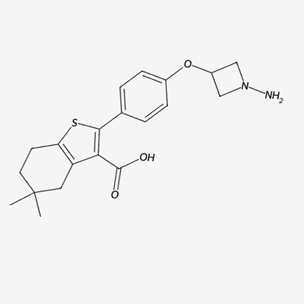 CC1(C)CCc2sc(-c3ccc(OC4CN(N)C4)cc3)c(C(=O)O)c2C1